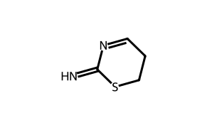 N=C1N=CCCS1